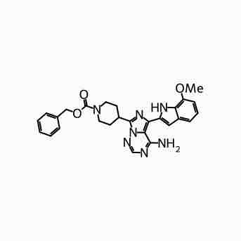 COc1cccc2cc(-c3nc(C4CCN(C(=O)OCc5ccccc5)CC4)n4ncnc(N)c34)[nH]c12